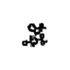 COC(=O)c1cnc(Cl)nc1-c1cn(N(C)C)c2ccccc12